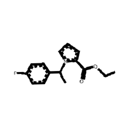 CCOC(=O)c1cccn1C(C)c1ccc(F)cc1